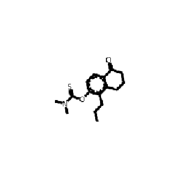 CCCc1c(OC(=S)N(C)C)ccc2c1CCCC2=O